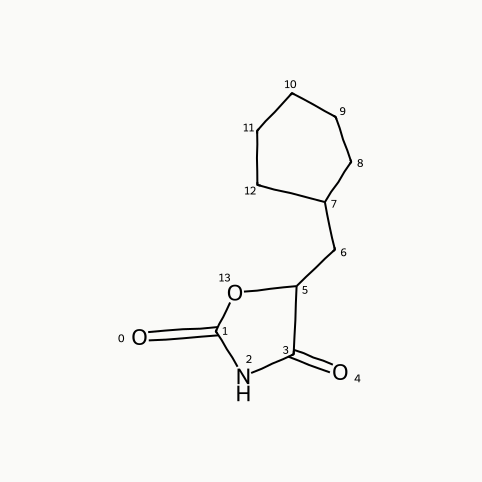 O=C1NC(=O)C(CC2CCCCC2)O1